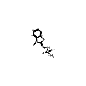 Cn1/c(=N/NS(N)(=O)=O)sc2ccccc21